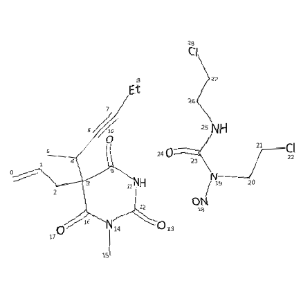 C=CCC1(C(C)C#CCC)C(=O)NC(=O)N(C)C1=O.O=NN(CCCl)C(=O)NCCCl